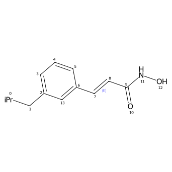 CC(C)Cc1cccc(/C=C/C(=O)NO)c1